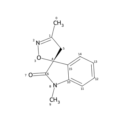 CC1=NO[C@@]2(C1)C(=O)N(C)c1ccccc12